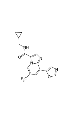 O=C(NCC1CC1)c1cnc2c(-c3cnco3)cc(C(F)(F)F)cn12